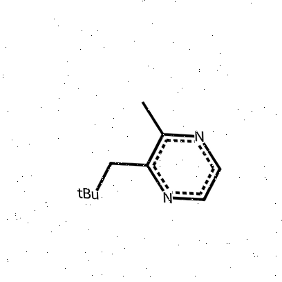 Cc1nccnc1CC(C)(C)C